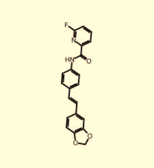 O=C(Nc1ccc(/C=C/c2ccc3c(c2)OCO3)cc1)c1cccc(F)n1